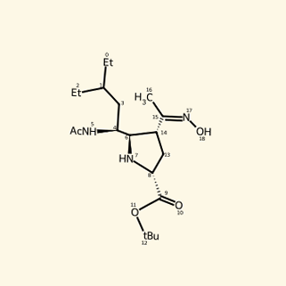 CCC(CC)C[C@H](NC(C)=O)[C@@H]1N[C@@H](C(=O)OC(C)(C)C)C[C@H]1/C(C)=N\O